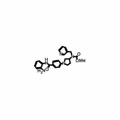 COC(=O)N(Cc1cccnc1)C1CCN(c2ccc(C(=O)Nc3ccccc3N)cc2)C1